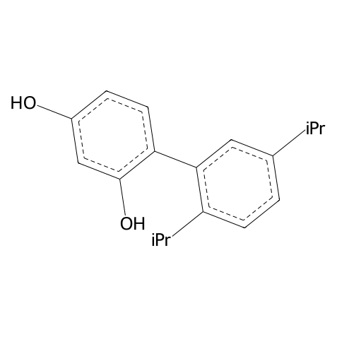 CC(C)c1ccc(C(C)C)c(-c2ccc(O)cc2O)c1